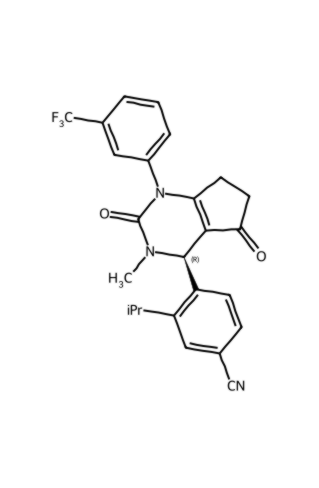 CC(C)c1cc(C#N)ccc1[C@@H]1C2=C(CCC2=O)N(c2cccc(C(F)(F)F)c2)C(=O)N1C